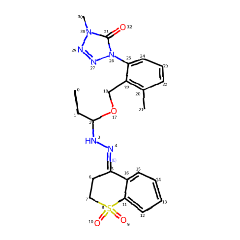 CCC(N/N=C1\CCS(=O)(=O)c2ccccc21)OCc1c(C)cccc1-n1nnn(C)c1=O